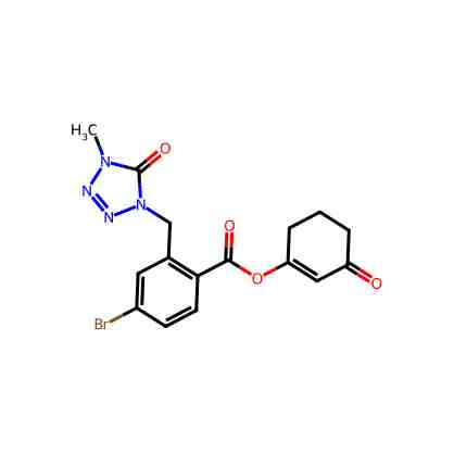 Cn1nnn(Cc2cc(Br)ccc2C(=O)OC2=CC(=O)CCC2)c1=O